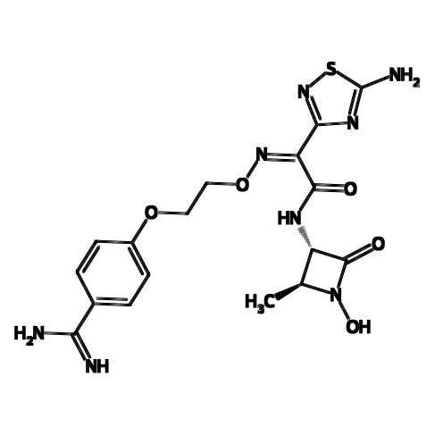 C[C@H]1[C@H](NC(=O)C(=NOCCOc2ccc(C(=N)N)cc2)c2nsc(N)n2)C(=O)N1O